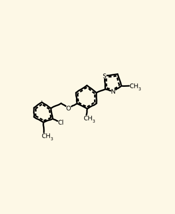 Cc1csc(-c2ccc(OCc3[c]ccc(C)c3Cl)c(C)c2)n1